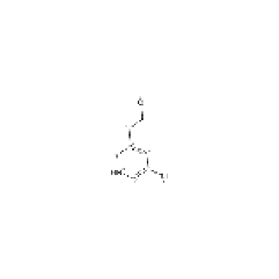 OCCC1=CC(Cl)=[C]NC1